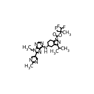 CCn1c(-c2cnc(C)nc2)nc2c(NC3CCc4c(c(C(C)C)nn4C(=O)OC(C)(CF)C(F)F)C3)ncnc21